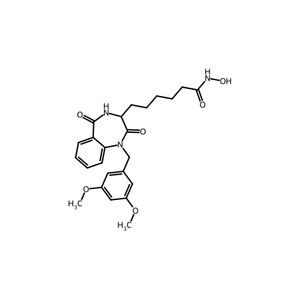 COc1cc(CN2C(=O)C(CCCCCC(=O)NO)NC(=O)c3ccccc32)cc(OC)c1